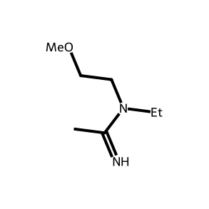 CCN(CCOC)C(C)=N